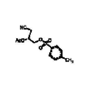 CC(=O)O[C@H](CC#N)COS(=O)(=O)c1ccc(C)cc1